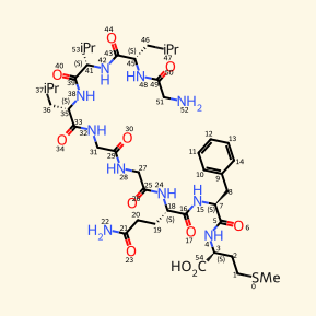 CSCC[C@H](NC(=O)[C@H](Cc1ccccc1)NC(=O)[C@H](CCC(N)=O)NC(=O)CNC(=O)CNC(=O)[C@H](CC(C)C)NC(=O)[C@@H](NC(=O)[C@H](CC(C)C)NC(=O)CN)C(C)C)C(=O)O